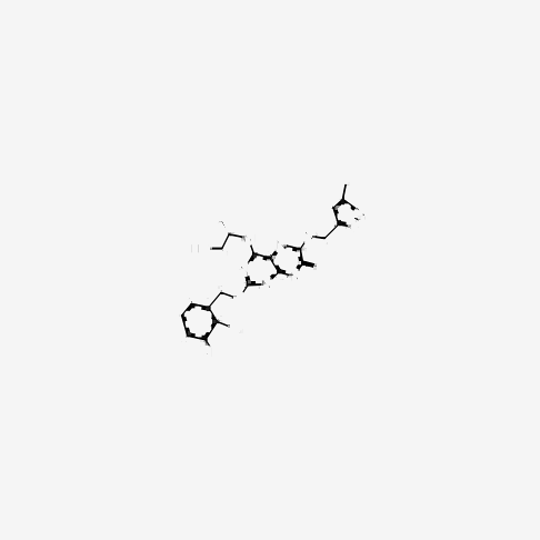 Cc1cc(CNc2nc3c(N[C@H](C)CO)nc(SCc4cccc(F)c4F)nc3[nH]c2=O)on1